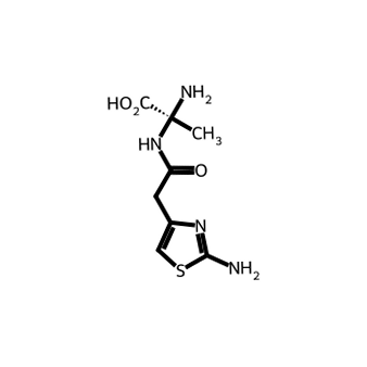 C[C@](N)(NC(=O)Cc1csc(N)n1)C(=O)O